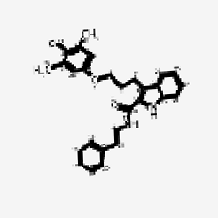 Cc1cc(OCCCc2c(C(=O)NCCc3ccccc3)[nH]c3ccccc23)cc(C)c1Cl